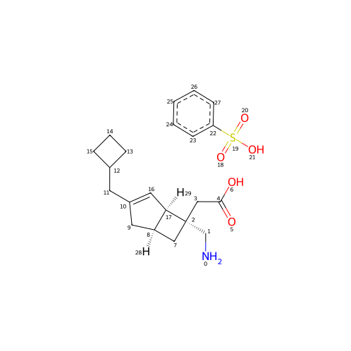 NC[C@]1(CC(=O)O)C[C@H]2CC(CC3CCC3)=C[C@H]21.O=S(=O)(O)c1ccccc1